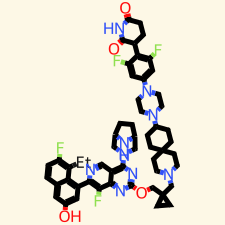 CCc1c(F)ccc2cc(O)cc(-c3ncc4c(N5CC6CCC(C5)N6)nc(OCC5(CN6CCC7(CCC(N8CCN(c9cc(F)c(C%10CCC(=O)NC%10=O)c(F)c9)CC8)CC7)CC6)CC5)nc4c3F)c12